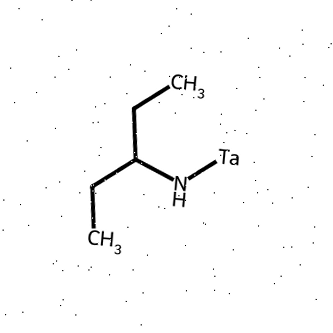 CCC(CC)[NH][Ta]